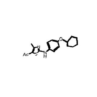 CC(=O)c1sc(Nc2ccc(OC3CCCCC3)cc2)nc1C